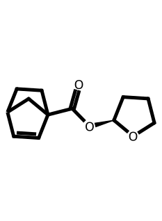 O=C(O[C@H]1CCCO1)C12C=CC(CC1)C2